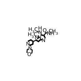 CNC(=O)c1cnc2cc(-c3ccnc(N4CCOCC4)c3)nn2c1NC(C)C